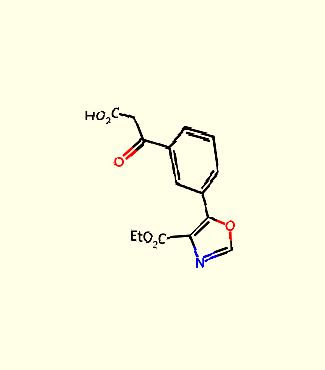 CCOC(=O)c1ncoc1-c1cccc(C(=O)CC(=O)O)c1